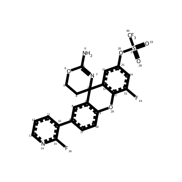 NC1=NC2(CCO1)c1cc(-c3cccnc3F)ccc1Oc1c(F)cc(OS(=O)(=O)C(F)(F)F)cc12